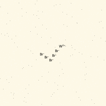 [Br-].[Br-].[Br-].[Br-].[Br-].[W+5]